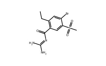 CCc1cc(Br)c(S(C)(=O)=O)cc1C(=O)N=C(N)N